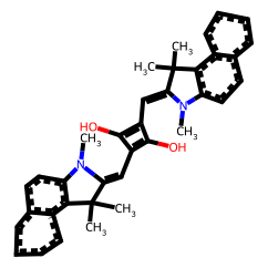 CN1C(=CC2=C(O)C(C=C3N(C)c4ccc5ccccc5c4C3(C)C)=C2O)C(C)(C)c2c1ccc1ccccc21